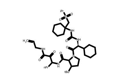 C=CCNC(=O)C(=O)C(CCC)NC(=O)C1C(C(C)(C)C)CCN1C(=O)[C@@H](NC(=O)NC1(CS(=O)(=O)C(C)C)CCCCC1)C1CCCCC1